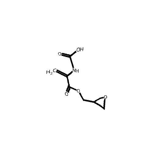 C=C(NC(=O)O)C(=O)OCC1CO1